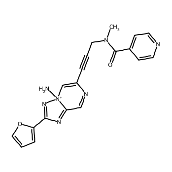 CN(CC#CC1=C[N+]2(N)N=C(c3ccco3)N=C2C=N1)C(=O)c1ccncc1